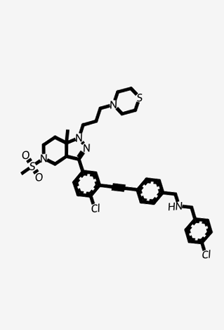 CC12CCN(S(C)(=O)=O)CC1C(c1ccc(Cl)c(C#Cc3ccc(CNCc4ccc(Cl)cc4)cc3)c1)=NN2CCCN1CCSCC1